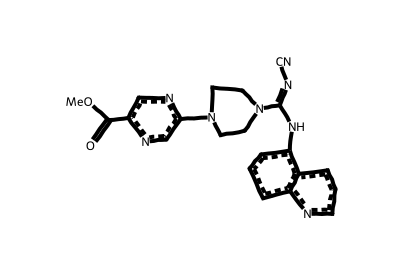 COC(=O)c1cnc(N2CCN(/C(=N\C#N)Nc3cccc4ncccc34)CC2)cn1